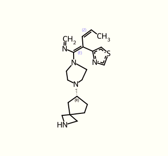 C=N/C(=C(\C=C/C)c1cscn1)N1CCN([C@@H]2CCC3(CNC3)C2)CC1